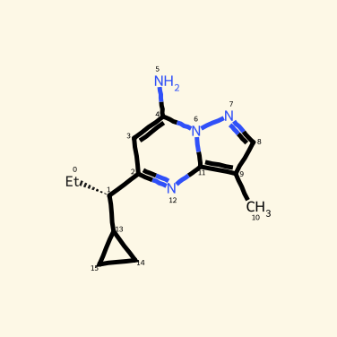 CC[C@H](c1cc(N)n2ncc(C)c2n1)C1CC1